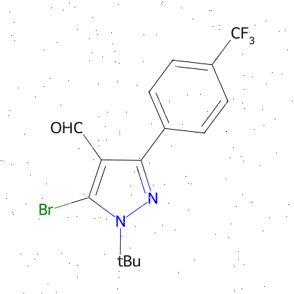 CC(C)(C)n1nc(-c2ccc(C(F)(F)F)cc2)c(C=O)c1Br